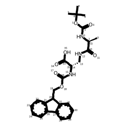 C[C@H](NC(=O)OC(C)(C)C)C(=O)NC[C@H](NC(=O)OCC1c2ccccc2-c2ccccc21)C(=O)O